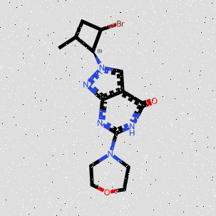 CC1CC(Br)[C@H]1n1cc2c(=O)[nH]c(N3CCOCC3)nc2n1